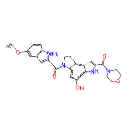 CCCOc1ccc2[nH]c(C(=O)N3CCc4c3cc(O)c3[nH]c(C(=O)N5CCOCC5)cc43)cc2c1